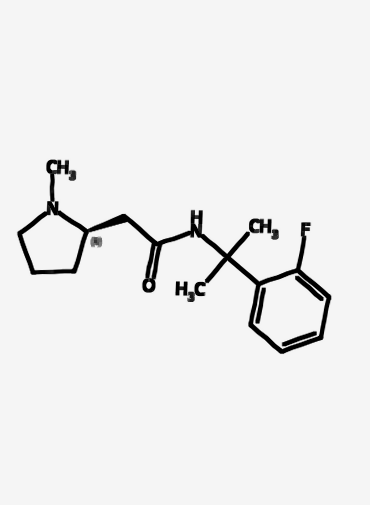 CN1CCC[C@@H]1CC(=O)NC(C)(C)c1ccccc1F